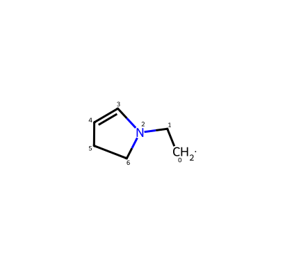 [CH2]CN1C=CCC1